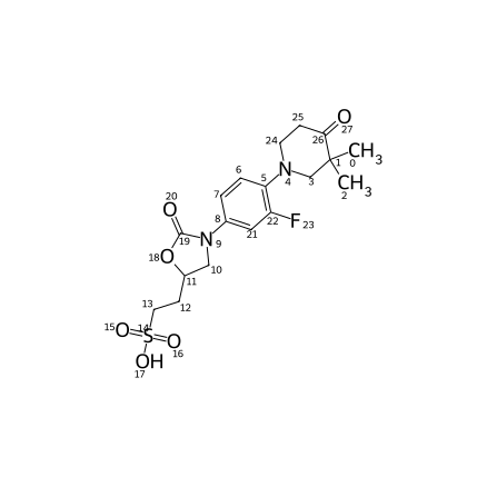 CC1(C)CN(c2ccc(N3CC(CCS(=O)(=O)O)OC3=O)cc2F)CCC1=O